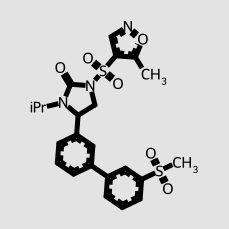 Cc1oncc1S(=O)(=O)N1CC(c2cccc(-c3cccc(S(C)(=O)=O)c3)c2)N(C(C)C)C1=O